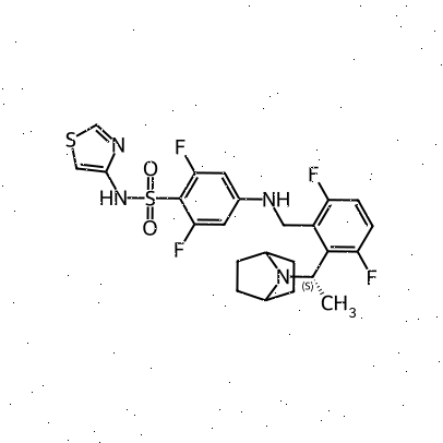 C[C@@H](c1c(F)ccc(F)c1CNc1cc(F)c(S(=O)(=O)Nc2cscn2)c(F)c1)N1C2CCC1CC2